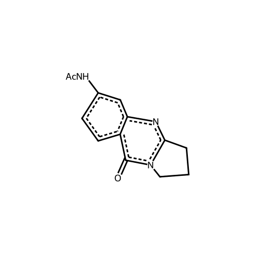 CC(=O)Nc1ccc2c(=O)n3c(nc2c1)CCC3